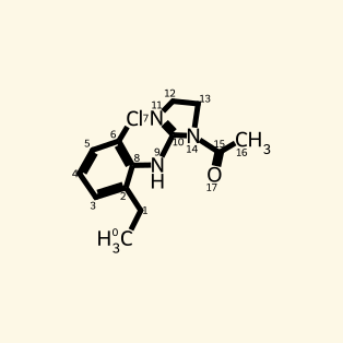 CCc1cccc(Cl)c1NC1=NCCN1C(C)=O